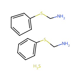 NCSc1ccccc1.NCSc1ccccc1.S